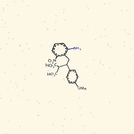 COc1ccc(C(Cc2c(N)cccc2[N+](=O)[O-])C(C(=O)O)C(=O)O)cc1